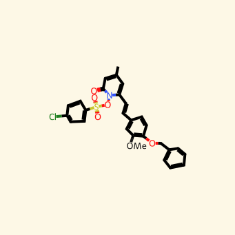 COc1cc(/C=C/c2cc(C)cc(=O)n2OS(=O)(=O)c2ccc(Cl)cc2)ccc1OCc1ccccc1